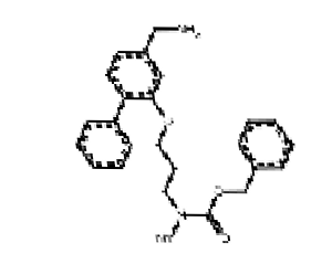 CCCN(CCCOc1cc(CN)ccc1-c1ccccc1)C(=O)OCc1ccccc1